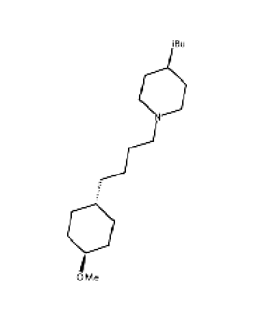 CCC(C)C1CCN(CCCC[C@H]2CC[C@H](OC)CC2)CC1